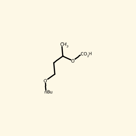 CCCCOCCC(C)OC(=O)O